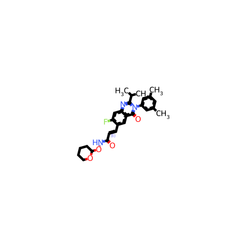 Cc1cc(C)cc(-n2c(C(C)C)nc3cc(F)c(/C=C/C(=O)NOC4CCCCO4)cc3c2=O)c1